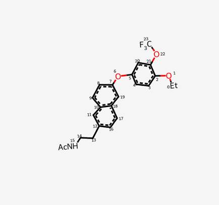 CCOc1ccc(Oc2ccc3cc(CCNC(C)=O)ccc3c2)cc1OC(F)(F)F